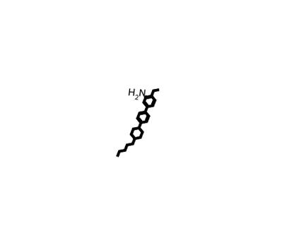 CCCCCC1CCC(c2ccc(-c3ccc(CC)c(N)c3)cc2)CC1